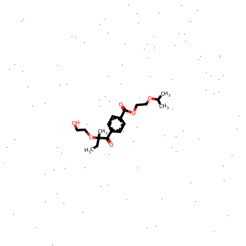 CCC(C)(OCCO)C(=O)c1ccc(C(=O)OCCOC(C)C)cc1